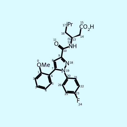 COc1ccccc1-c1cc(C(=O)N[C@H](CC(=O)O)CC(C)C)nn1-c1ccc(F)cc1